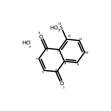 Cl.O=C1C=CC(=O)c2c1cccc2S(=O)(=O)O